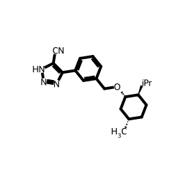 CC(C)[C@H]1CC[C@H](C)C[C@@H]1OCc1cccc(-c2nn[nH]c2C#N)c1